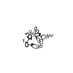 CCOc1nc([C@@H](CS(C)(=O)=O)n2c(=O)n(C)c3cc(-c4c(F)cccc4OC)ccc32)ccc1OC